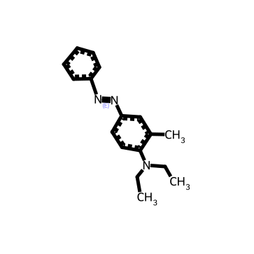 CCN(CC)c1ccc(/N=N/c2ccccc2)cc1C